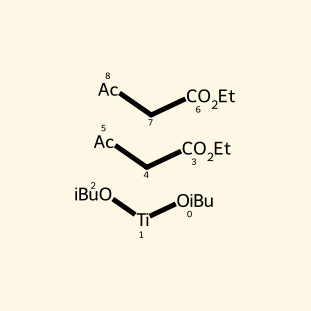 CC(C)C[O][Ti][O]CC(C)C.CCOC(=O)CC(C)=O.CCOC(=O)CC(C)=O